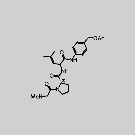 CNCC(=O)N1CCC[C@H]1C(=O)NC(C=C(C)C)C(=O)Nc1ccc(COC(C)=O)cc1